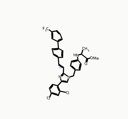 COC(=O)C(C)Nc1ccc(Cn2cc(-c3ccc(Cl)cc3Cl)nc2/C=C/c2ccc(-c3cccc(C(F)(F)F)c3)cc2)cc1